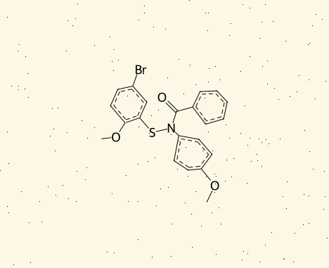 COc1ccc(N(Sc2cc(Br)ccc2OC)C(=O)c2ccccc2)cc1